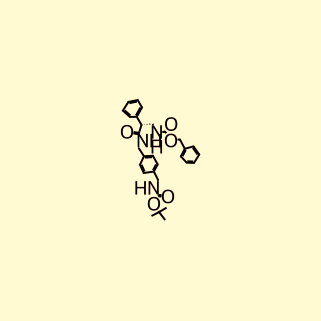 CC(C)(C)OC(=O)NCc1ccc(CNC(=O)[C@@H](CNC(=O)OCc2ccccc2)c2ccccc2)cc1